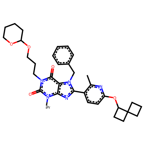 Cc1nc(OC2CCC23CCC3)ccc1-c1nc2c(c(=O)n(CCCOC3CCCCO3)c(=O)n2C(C)C)n1Cc1ccccc1